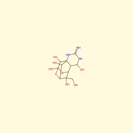 N=C1NC(O)C2C3OC4(O)OC(C(O)C2(N1)C4O)C3(O)CO